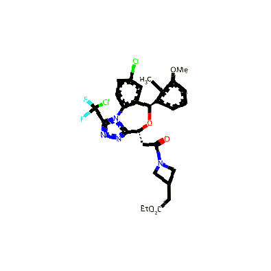 CCOC(=O)CC1CN(C(=O)C[C@H]2O[C@H](c3cccc(OC)c3C)c3cc(Cl)ccc3-n3c2nnc3C(F)(F)Cl)C1